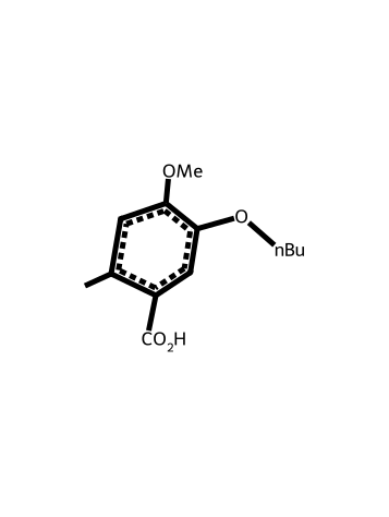 CCCCOc1cc(C(=O)O)c(C)cc1OC